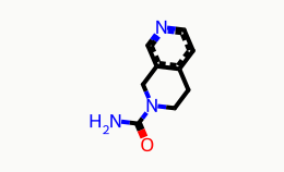 NC(=O)N1CCc2ccncc2C1